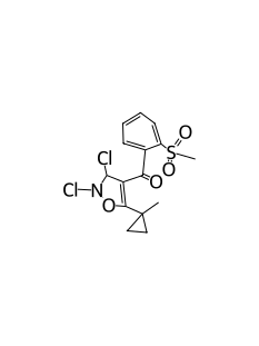 CC1(C2=C(C(=O)c3ccccc3S(C)(=O)=O)C(Cl)N(Cl)O2)CC1